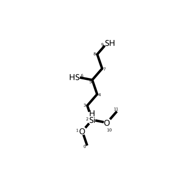 CO[SiH](CCC(S)CCS)OC